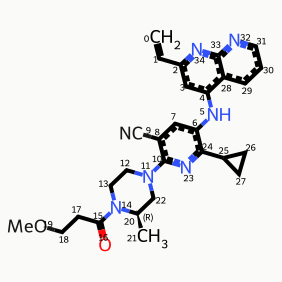 C=Cc1cc(Nc2cc(C#N)c(N3CCN(C(=O)CCOC)[C@H](C)C3)nc2C2CC2)c2cccnc2n1